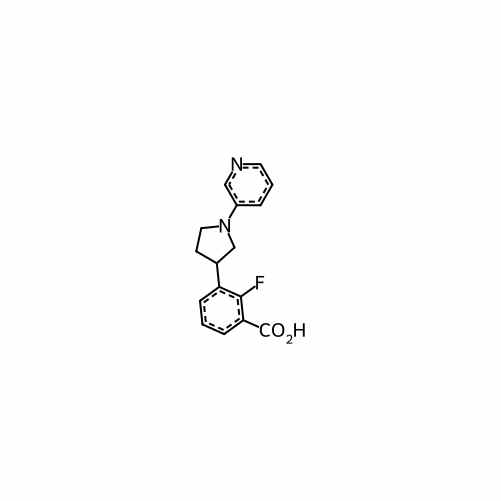 O=C(O)c1cccc(C2CCN(c3cccnc3)C2)c1F